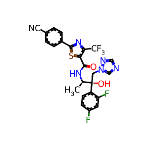 C[C@@H](NC(=O)c1sc(-c2ccc(C#N)cc2)nc1C(F)(F)F)[C@](O)(Cn1cncn1)c1ccc(F)cc1F